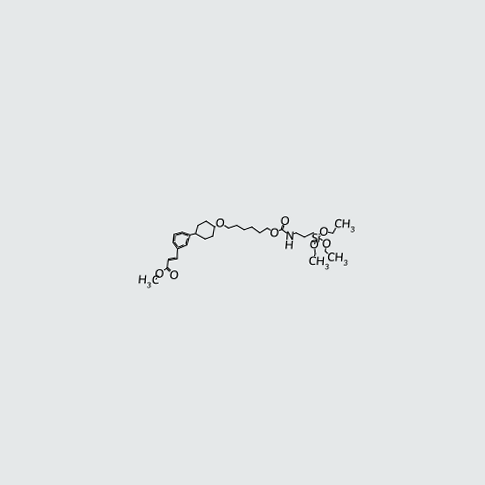 CCO[Si](CCCNC(=O)OCCCCCCOC1CCC(c2cccc(C=CC(=O)OC)c2)CC1)(OCC)OCC